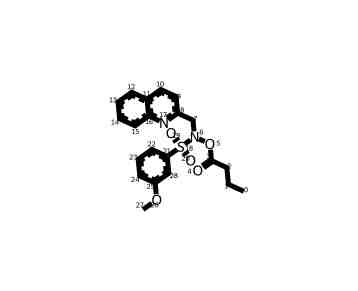 CCCC(=O)ON(Cc1ccc2ccccc2n1)S(=O)(=O)c1cccc(OC)c1